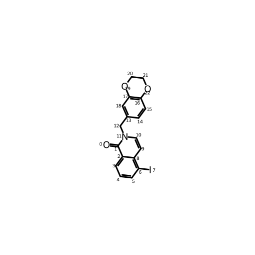 O=c1c2cccc(I)c2ccn1Cc1ccc2c(c1)OCCO2